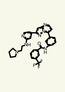 O=C(Nc1cccc(-c2ccnc3cc(-c4ccnc(NCCN5CCCC5)c4)nn23)c1)c1cccc(C(F)(F)F)c1